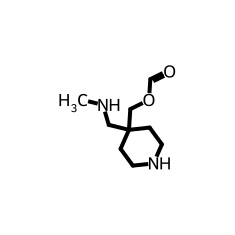 CNCC1(COC=O)CCNCC1